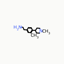 Cc1cc(CCN)ccc1C1CCN(C)CC1